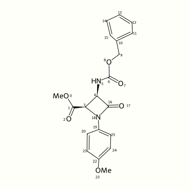 COC(=O)[C@H]1[C@@H](NC(=O)OCc2ccccc2)C(=O)N1c1ccc(OC)cc1